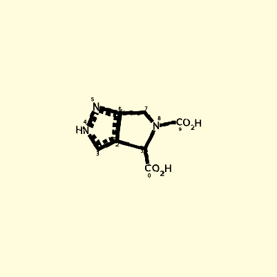 O=C(O)C1c2c[nH]nc2CN1C(=O)O